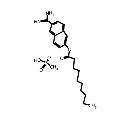 CCCCCCCCCC(=O)Oc1ccc2cc(C(=N)N)ccc2c1.CS(=O)(=O)O